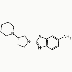 Nc1ccc2nc(N3CCC(N4CCCCC4)C3)sc2c1